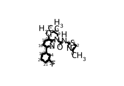 Cc1csc(NC(=O)N2CC(C)(C)Oc3ccc(-c4cccc(F)c4)nc32)n1